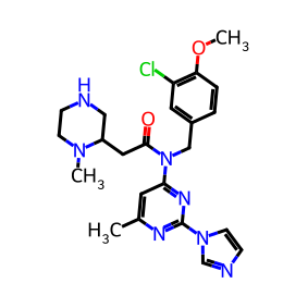 COc1ccc(CN(C(=O)CC2CNCCN2C)c2cc(C)nc(-n3ccnc3)n2)cc1Cl